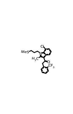 CSCCCn1c(C)c(C(=O)Cc2ccccc2C(F)(F)F)c2cccc(Cl)c21